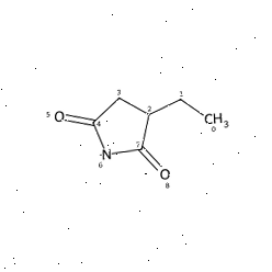 CCC1CC(=O)[N]C1=O